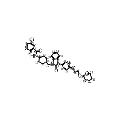 Cc1ncc(Cl)cc1C(=O)NC1CCC(Cn2c(=O)n(-c3ccc(OCCOC4CCCCO4)nc3)c3ccccc32)CC1